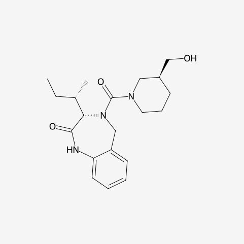 CC[C@H](C)[C@H]1C(=O)Nc2ccccc2CN1C(=O)N1CCC[C@H](CO)C1